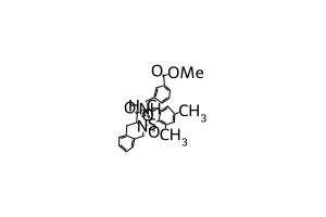 COC(=O)c1cccc(CNC(=O)C2Cc3ccccc3CN2S(=O)(=O)c2c(C)cc(C)cc2C)c1